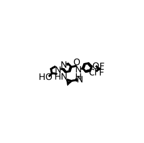 N#CC1CC1Nc1cc(C(=O)Nc2ccc(OC(F)(F)Cl)cc2)cnc1N1CCC(O)C1